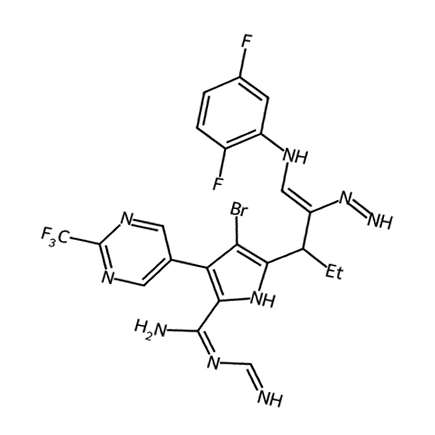 CCC(/C(=C/Nc1cc(F)ccc1F)N=N)c1[nH]c(/C(N)=N\C=N)c(-c2cnc(C(F)(F)F)nc2)c1Br